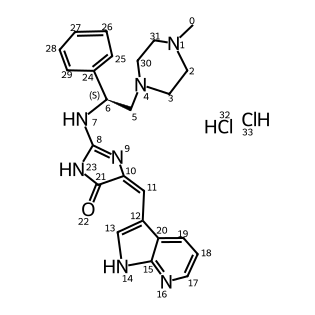 CN1CCN(C[C@@H](NC2=NC(=Cc3c[nH]c4ncccc34)C(=O)N2)c2ccccc2)CC1.Cl.Cl